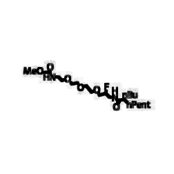 CCCCCC(CCCC)C(=O)NCC(F)COCCOCCOCCNC(=O)COC